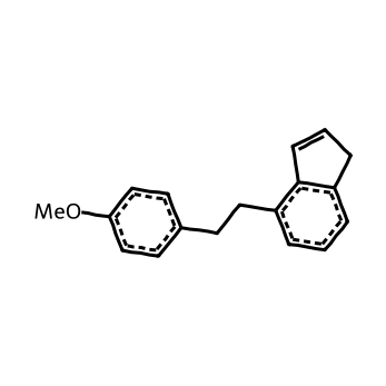 COc1ccc(CCc2cccc3c2C=CC3)cc1